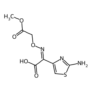 COC(=O)CO/N=C(\C(=O)O)c1csc(N)n1